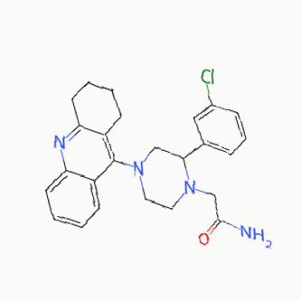 NC(=O)CN1CCN(c2c3c(nc4ccccc24)CCCC3)CC1c1cccc(Cl)c1